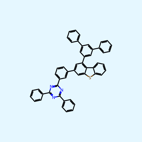 c1ccc(-c2cc(-c3ccccc3)cc(-c3cc(-c4cccc(-c5nc(-c6ccccc6)nc(-c6ccccc6)n5)c4)cc4sc5ccccc5c34)c2)cc1